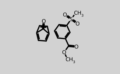 COC(=O)c1cccc(S(C)(=O)=O)c1.O=C1C2=CC=C1C=C2